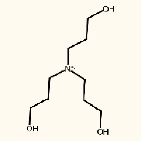 OCCC[N+](CCCO)CCCO